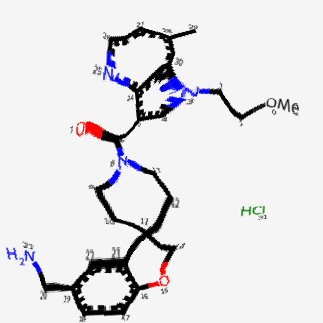 COCCn1cc(C(=O)N2CCC3(CC2)COc2ccc(CN)cc23)c2nccc(C)c21.Cl